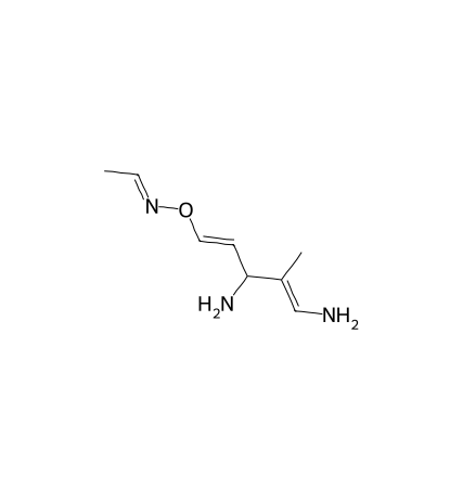 C/C=N/O/C=C/C(N)/C(C)=C/N